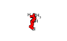 CN(C)CCC(CSc1ccccc1)n1nnc2cc(S(=O)(=O)Nc3ncnc4cc(N5CCN(Cc6ccccc6-c6ccc(Cl)cc6)CC5)ccc34)ccc21